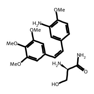 COc1ccc(/C=C\c2cc(OC)c(OC)c(OC)c2)cc1N.NC(=O)[C@H](N)CO